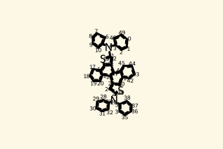 c1ccc(N(c2ccccc2)c2cc3c(s2)c2ccccc2c2c4cc(N(c5ccccc5)c5ccccc5)sc4c4ccccc4c32)cc1